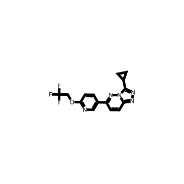 FC(F)(F)COc1ccc(-c2ccc3nnc(C4CC4)n3n2)cn1